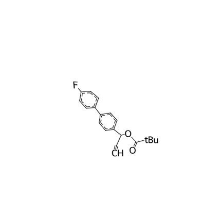 C#CC(OC(=O)C(C)(C)C)c1ccc(-c2ccc(F)cc2)cc1